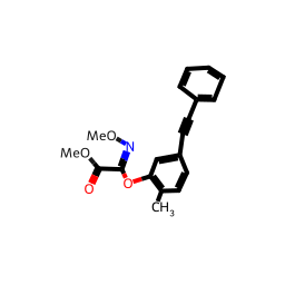 CON=C(Oc1cc(C#Cc2ccccc2)ccc1C)C(=O)OC